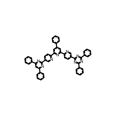 c1ccc(-c2cc(-c3ccc(-c4nc(-c5ccccc5)cc(-c5ccccc5)n4)cn3)nc(-c3ccc(-c4nc(-c5ccccc5)nc(-c5ccccc5)n4)cn3)c2)cc1